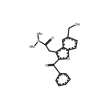 CCCCN(CCCC)C(=O)Cc1c(C(=O)c2ccccc2)oc2ccc(CO)cc12